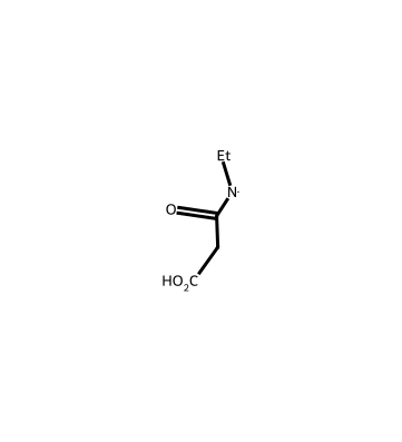 CC[N]C(=O)CC(=O)O